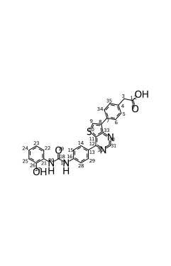 O=C(O)Cc1ccc(-c2csc3c(-c4ccc(NC(=O)Nc5ccccc5O)cc4)ncnc23)cc1